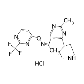 CC(=NOc1ccnc(C(F)(F)F)n1)c1cnc(C)nc1C1CCNCC1.Cl